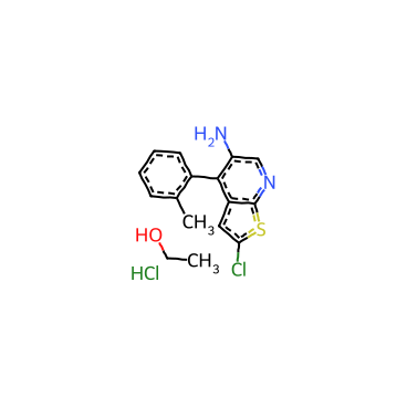 CCO.Cc1ccccc1-c1c(N)cnc2sc(Cl)cc12.Cl